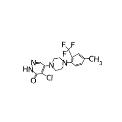 Cc1ccc(N2CCN(c3cn[nH]c(=O)c3Cl)CC2)c(C(F)(F)F)c1